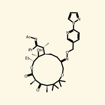 CC[C@H]1OC(=O)[C@H](C)C(=O)[C@H](C)C(C)(C)C(C)(C)OC/C(=N/OCc2ccc(-n3cccn3)nc2)CC[C@H]([C@@H](C)/C(=N/C(C)=O)C(C)C)[C@]1(C)O